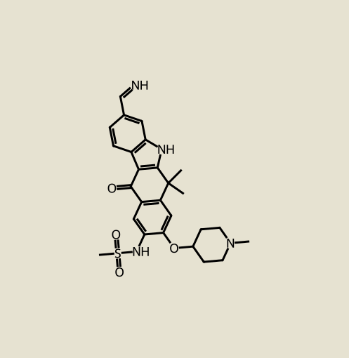 CN1CCC(Oc2cc3c(cc2NS(C)(=O)=O)C(=O)c2c([nH]c4cc(C=N)ccc24)C3(C)C)CC1